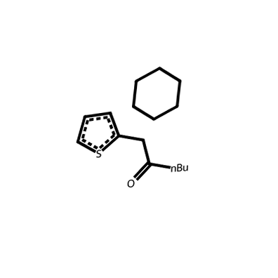 C1CCCCC1.CCCCC(=O)Cc1cccs1